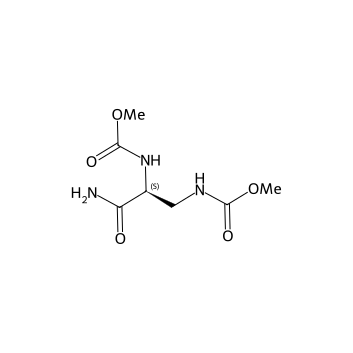 COC(=O)NC[C@H](NC(=O)OC)C(N)=O